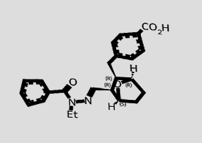 CCN(N=C[C@H]1[C@@H](Cc2ccc(C(=O)O)cc2)[C@H]2CC[C@@H]1O2)C(=O)c1ccccc1